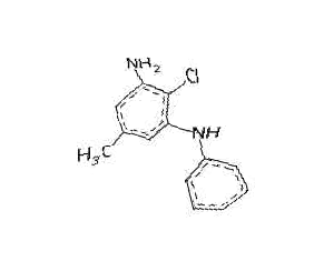 Cc1cc(N)c(Cl)c(Nc2ccccc2)c1